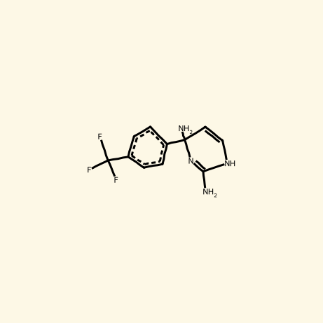 NC1=NC(N)(c2ccc(C(F)(F)F)cc2)C=CN1